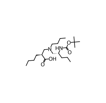 CCCC[C@@H](CN(CCCC)C[C@@H](CCC)NC(=O)OC(C)(C)C)C(=O)O